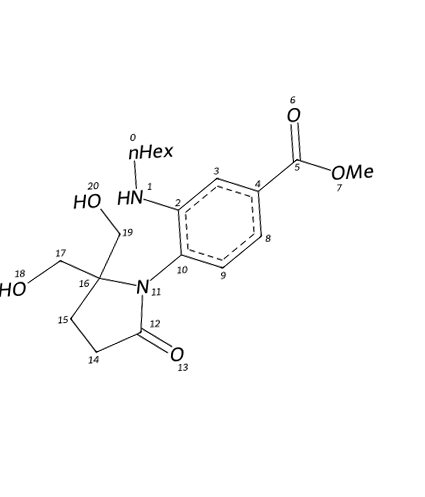 CCCCCCNc1cc(C(=O)OC)ccc1N1C(=O)CCC1(CO)CO